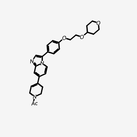 CC(=O)N1CC=C(c2ccn3c(-c4ccc(OCCOC5CCOCC5)cc4)cnc3c2)CC1